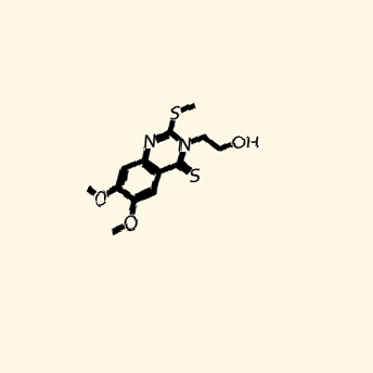 COc1cc2nc(SC)n(CCO)c(=S)c2cc1OC